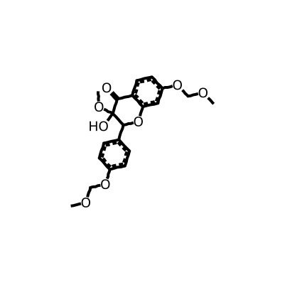 COCOc1ccc(C2Oc3cc(OCOC)ccc3C(=O)C2(O)OC)cc1